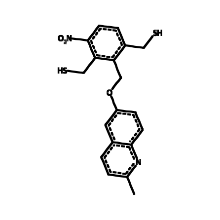 Cc1ccc2cc(OCc3c(CS)ccc([N+](=O)[O-])c3CS)ccc2n1